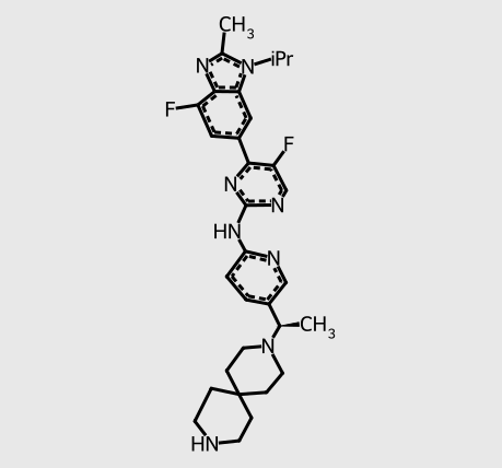 Cc1nc2c(F)cc(-c3nc(Nc4ccc([C@@H](C)N5CCC6(CCNCC6)CC5)cn4)ncc3F)cc2n1C(C)C